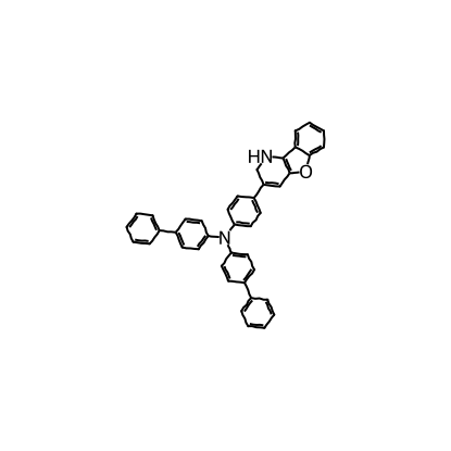 C1=C(c2ccc(N(c3ccc(-c4ccccc4)cc3)c3ccc(-c4ccccc4)cc3)cc2)CNc2c1oc1ccccc21